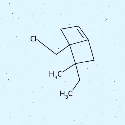 CCC1(C)CC2=CCC21CCl